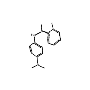 CN(C)c1ccc(NN(C)c2ccccc2Cl)cc1